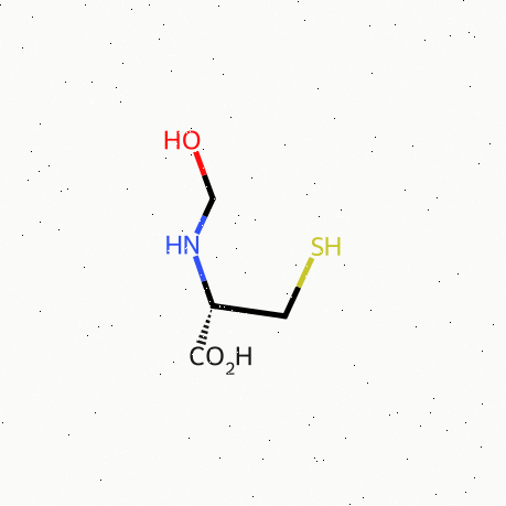 O=C(O)[C@@H](CS)NCO